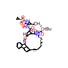 C=C[C@@H]1C[C@]1(NC(=O)[C@@H]1C[C@@H]2C[C@H]1C(=O)N(NC(=O)OC(C)(C)C)CCCCCC/C=C/c1ccc3c(c1)/C(=N\O2)c1ccccc1-3)C(=O)NS(=O)(=O)C1CC1